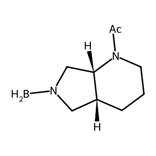 BN1C[C@H]2CCCN(C(C)=O)[C@H]2C1